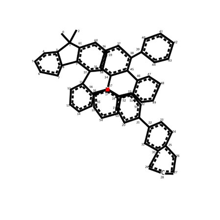 CC1(C)c2ccccc2-c2c(-c3ccccc3N(c3ccc(-c4ccc5ccccc5c4)cc3)c3cccc(-c4ccccc4)c3-c3ccccc3-c3ccccc3)cccc21